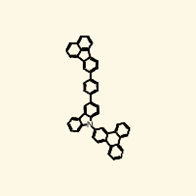 c1cc2c3c(cccc3c1)-c1cc(-c3ccc(-c4ccc5c(c4)c4ccccc4n5-c4ccc5c6ccccc6c6ccccc6c5c4)cc3)ccc1-2